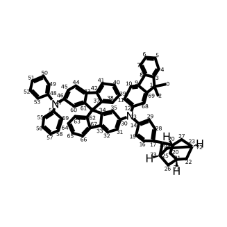 CC1(C)c2ccccc2-c2ccc(N(c3ccc(C4[C@H]5C[C@@H]6C[C@@H](C[C@@H]4C6)C5)cc3)c3ccc4c(c3)C3(c5ccccc5-c5ccc(N(c6ccccc6)c6ccccc6)cc53)c3ccccc3-4)cc21